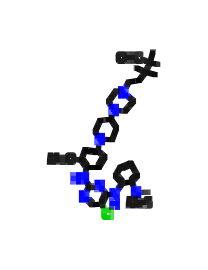 COc1cc(N2CCC(N3CCN(CCC(C)(C)C(C)(C)C=O)CC3)CC2)ccc1Nc1ncc(Cl)c(Nc2ccccc2N(C)SC)n1